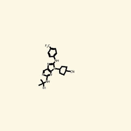 CCC(C)(C)Nc1ncc2nc(Nc3ccc(C(F)(F)F)cc3)n(C3CCC(C#N)CC3)c2n1